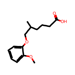 COc1ccccc1OCC(C)CCCC(=O)O